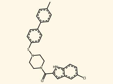 Cc1ccc(-c2ccc(SN3CCN(C(=O)c4cc5cc(Cl)ccc5[nH]4)CC3)cc2)cc1